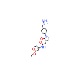 C=C[C@H](CC(=O)OCC)NC(=O)CC1CCN(c2ccc(C=NN)cc2)C1=O